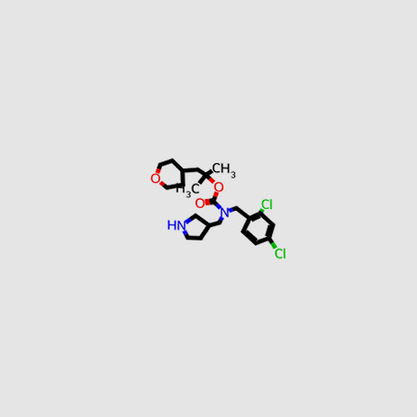 CC(C)(CC1CCOCC1)OC(=O)N(Cc1ccc(Cl)cc1Cl)CC1CCNC1